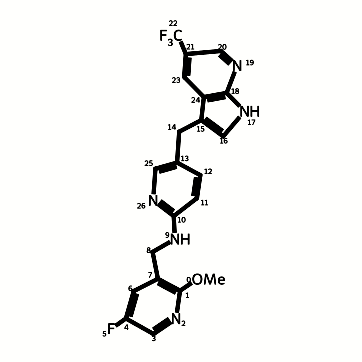 COc1ncc(F)cc1CNc1ccc(Cc2c[nH]c3ncc(C(F)(F)F)cc23)cn1